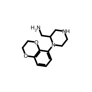 NCC1CNCCN1c1cccc2c1OCCO2